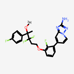 [2H]OC(C)(c1ccc(F)cc1)C(F)(F)CCOc1cccc(-c2ccn3nc(N)nc3c2)c1F